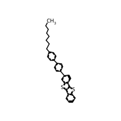 CCCCCCCCc1ccc(-c2ccc(-c3c#cc4c(c3)sc3c5cc#ccc5sc43)cc2)cc1